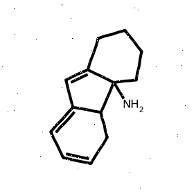 NC12CCCCC1=CC1=CC=CCC12